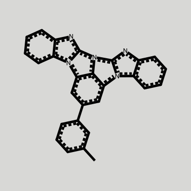 Cc1cccc(-c2cc3c4c(c2)n2c5ccccc5nc2n4c2nc4ccccc4n32)c1